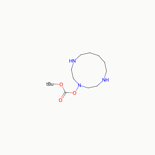 CC(C)(C)OC(=O)ON1CCNCCCCCNCC1